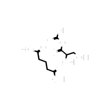 O=C(O)CCCC(=O)O.O=C(O)OC(=O)C(O)CO